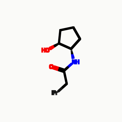 CC(C)CC(=O)N[C@H]1CCC[C@@H]1O